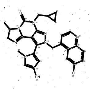 CC1CN=C2c3c(nn(Cc4ccnc5ccc(Cl)cc45)c3-c3cc(C#N)cn3C)N(CC3CC3)C(=O)N21